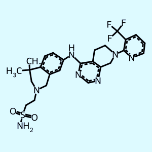 CC1(C)CN(CCS(N)(=O)=O)Cc2cc(Nc3ncnc4c3CCN(c3ncccc3C(F)(F)F)C4)ccc21